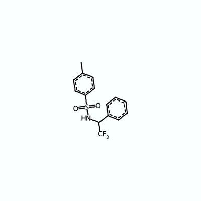 Cc1ccc(S(=O)(=O)NC(c2ccccc2)C(F)(F)F)cc1